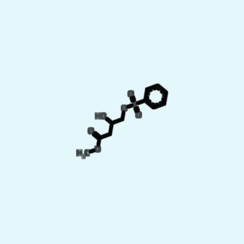 COC(=O)CC(O)COS(=O)(=O)c1ccccc1